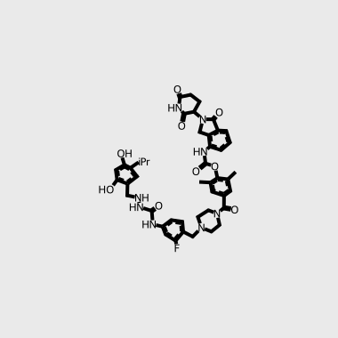 Cc1cc(C(=O)N2CCN(Cc3ccc(NC(=O)NNCc4cc(C(C)C)c(O)cc4O)cc3F)CC2)cc(C)c1OC(=O)Nc1cccc2c1CN(C1CCC(=O)NC1=O)C2=O